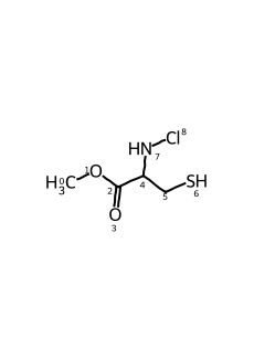 COC(=O)C(CS)NCl